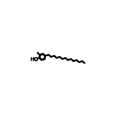 CCCCCCCCCCCCCCc1ccc(O)c(C)c1